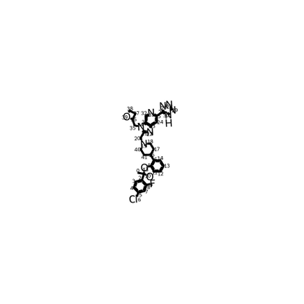 CC1(c2ccc(Cl)cc2F)Oc2cccc(C3CCN(Cc4nc5cc(-c6nnn[nH]6)ncc5n4CC4CCO4)CC3)c2O1